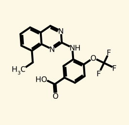 CCc1cccc2cnc(Nc3cc(C(=O)O)ccc3OC(F)(F)F)nc12